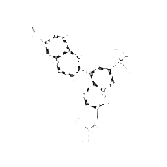 COc1ccc2cc(-c3cc(C(F)(F)F)cc4nc(OC(F)F)cnc34)ccc2c1